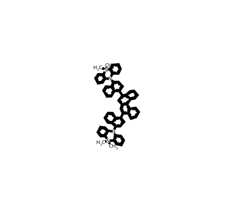 C[Si]1(C)c2ccccc2N(c2ccc(-c3cc4cc(-c5ccc(N6c7ccccc7[Si](C)(C)c7ccccc76)c6ccccc56)c5ccccc5c4c4ccccc34)c3ccccc23)c2ccccc21